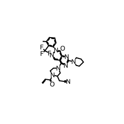 C=CC(=O)N1CCN(c2nc(N3CCCCC3)nc3c(=O)n(-c4cccc(C)c4C(F)(F)F)ncc23)CC1CC#N